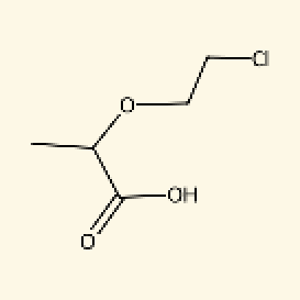 CC(OCCCl)C(=O)O